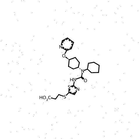 O=C(O)CCSc1cnc(NC(=O)N(C2CCCCC2)[C@H]2CC[C@H](Oc3ccccn3)CC2)s1